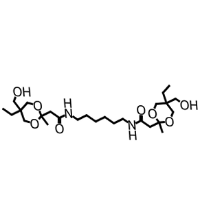 CCC1(CO)COC(C)(CC(=O)NCCCCCCNC(=O)CC2(C)OCC(CC)(CO)CO2)OC1